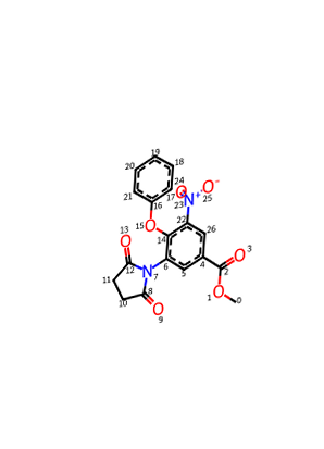 COC(=O)c1cc(N2C(=O)CCC2=O)c(Oc2ccccc2)c([N+](=O)[O-])c1